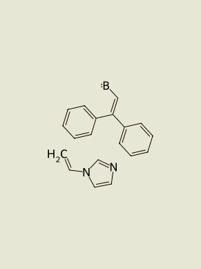 C=Cn1ccnc1.[B]C=C(c1ccccc1)c1ccccc1